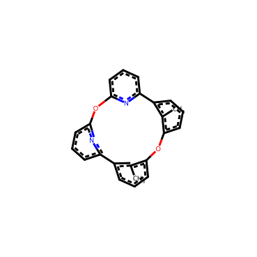 Cc1c2cccc1-c1cccc(n1)Oc1cccc(n1)-c1cccc(c1C)O2